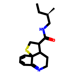 CC[C@H](C)CNC(=O)C1CSC23C=CC=CC2=NCCC13